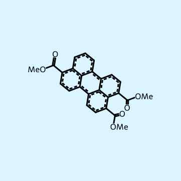 COC(=O)c1ccc2c3ccc(C(=O)OC)c4c(C(=O)OC)ccc(c5cccc1c52)c43